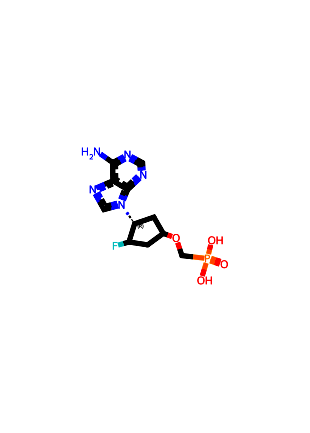 Nc1ncnc2c1ncn2[C@@H]1CC(OCP(=O)(O)O)CC1F